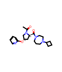 CC(=O)N1C[C@@H](Oc2ccccn2)C[C@@H]1C(=O)N1CCCN(C2CCC2)CC1